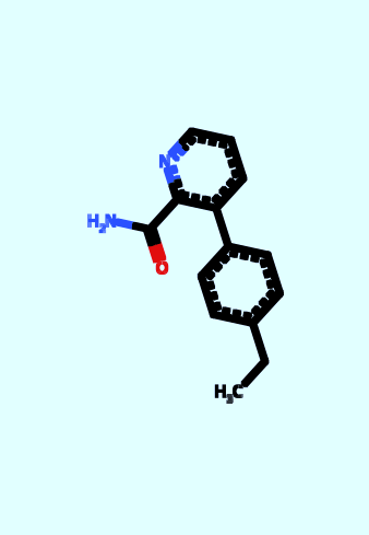 CCc1ccc(-c2cccnc2C(N)=O)cc1